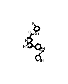 O=C(Nc1cccc(F)c1)c1cnc2[nH]cc(-c3ccc4ncn(C5CCCNC5)c4c3)c2c1